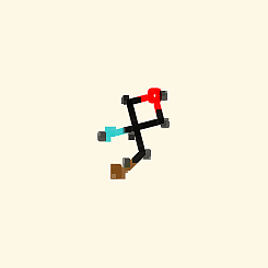 FC1(CBr)COC1